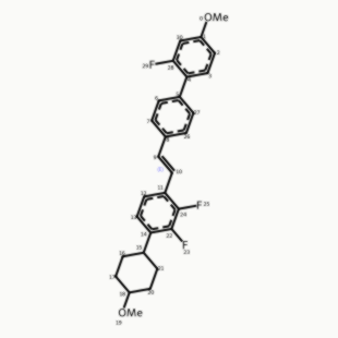 COc1ccc(-c2ccc(/C=C/c3ccc(C4CCC(OC)CC4)c(F)c3F)cc2)c(F)c1